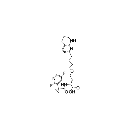 O=C(O)[C@H](CCOCCCCc1ccc2c(n1)NCCC2)NC(=O)C1(c2cc(F)cnc2F)CC1